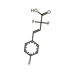 O=C(O)C(F)(F)C=Cc1ccc(F)cc1